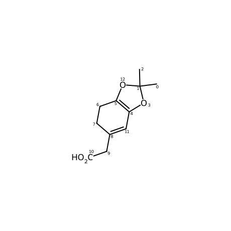 CC1(C)OC2=C(CCC(CC(=O)O)=C2)O1